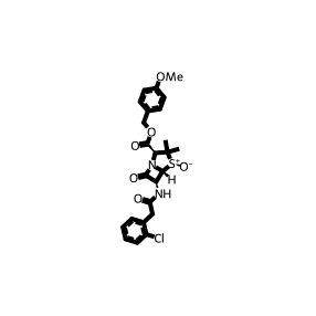 COc1ccc(COC(=O)[C@@H]2N3C(=O)[C@@H](NC(=O)Cc4ccccc4Cl)[C@H]3[S@@+]([O-])C2(C)C)cc1